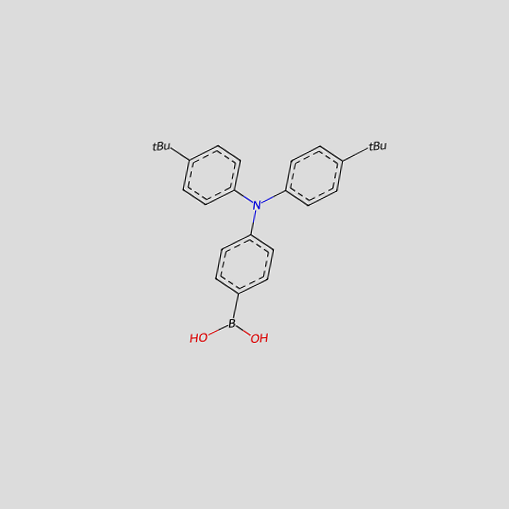 CC(C)(C)c1ccc(N(c2ccc(B(O)O)cc2)c2ccc(C(C)(C)C)cc2)cc1